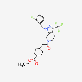 CCOC(=O)C1CCC(CC(=O)N2CCc3c(C(F)(F)F)nn(Cc4cccc(F)c4)c3C2)CC1